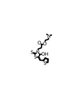 CN(C)CCOC(=O)CCN1C(=S)S/C(=C/c2cccs2)C1O